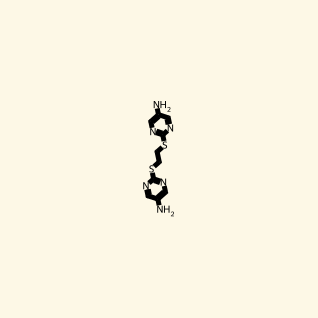 Nc1cnc(SCCSc2ncc(N)cn2)nc1